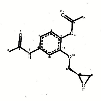 CC(=O)Nc1ccc(OC(C)=O)c(OC[C@H]2CO2)c1